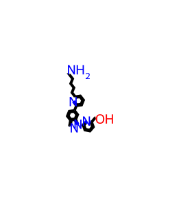 NCCCCCc1cccc(-c2ccc3cnn(-c4cccc(CO)n4)c3c2)n1